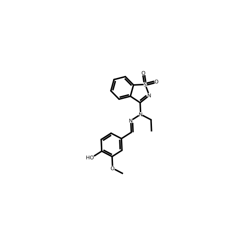 CCN(/N=C/c1ccc(O)c(OC)c1)C1=NS(=O)(=O)c2ccccc21